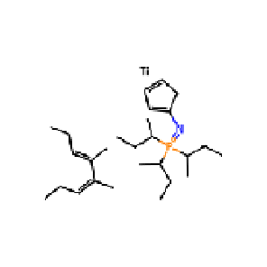 CCC(C)P(=NC1=CC=CC1)(C(C)CC)C(C)CC.CCC=C(C)C(C)=CCC.[Ti]